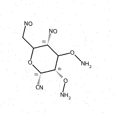 N#C[C@@H]1OC(CN=O)[C@H](N=O)C(ON)[C@@H]1ON